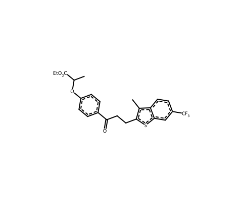 CCOC(=O)C(C)Oc1ccc(C(=O)CCc2sc3cc(C(F)(F)F)ccc3c2C)cc1